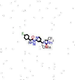 COC[C@H](c1ccnc(NC(=O)C(N)C2CCC(F)CC2)c1)N1C[C@@H](C(F)(F)F)NC1=O